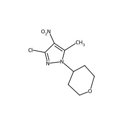 Cc1c([N+](=O)[O-])c(Cl)nn1C1CCOCC1